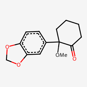 COC1(c2ccc3c(c2)OCO3)CCCCC1=O